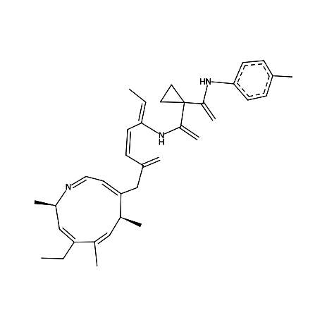 C=C(/C=C\C(=C/C)NC(=C)C1(C(=C)Nc2ccc(C)cc2)CC1)C/C1=C/C=N\[C@H](C)/C=C(CC)\C(C)=C/[C@@H]1C